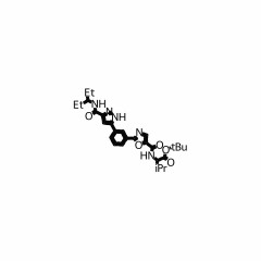 CCC(CC)NC(=O)c1cc(-c2cccc(-c3ncc(C(=O)NC(C(=O)OC(C)(C)C)C(C)C)o3)c2)[nH]n1